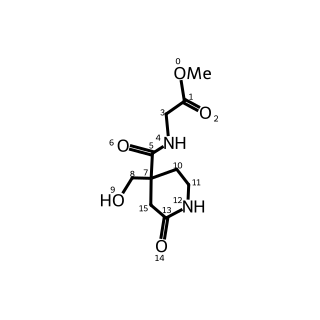 COC(=O)CNC(=O)C1(CO)CCNC(=O)C1